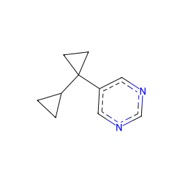 c1ncc(C2(C3CC3)CC2)cn1